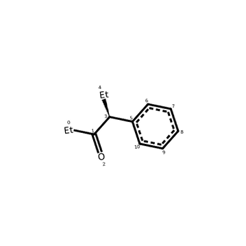 CCC(=O)[C@@H](CC)c1ccccc1